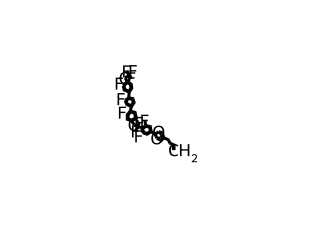 C=CCCC1COC(c2cc(F)c(C(F)(F)Oc3ccc(-c4ccc(-c5ccc(OC(F)(F)F)c(F)c5)c(F)c4)c(F)c3)c(F)c2)OC1